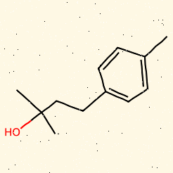 [CH2]C(C)(O)CCc1ccc(C)cc1